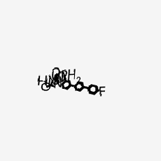 O=C1CN(c2ccc(-c3ccc(-c4ccc(F)cc4)cc3)cc2P)S(=O)(=O)N1